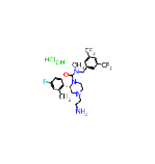 Cc1cc(F)ccc1[C@H]1CN(CCN)CCN1C(=O)N(C)Cc1cc(C(F)(F)F)cc(C(F)(F)F)c1.Cl.Cl